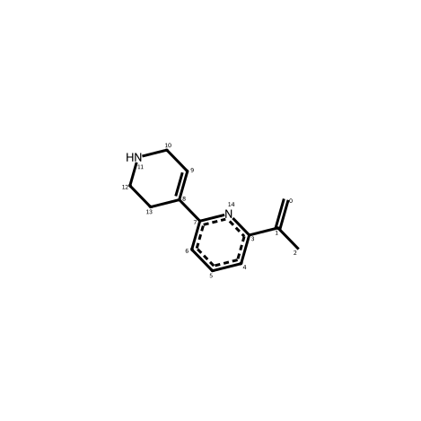 C=C(C)c1cccc(C2=CCNCC2)n1